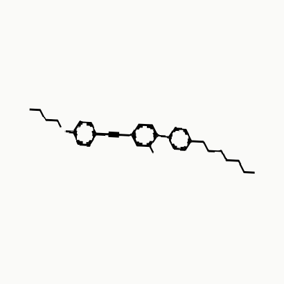 CCCCCCCc1ccc(-c2ccc(C#Cc3ccc(OCCCC)cc3)cc2F)cc1